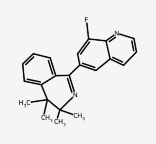 CC1(C)N=C(c2cc(F)c3ncccc3c2)c2ccccc2C1(C)C